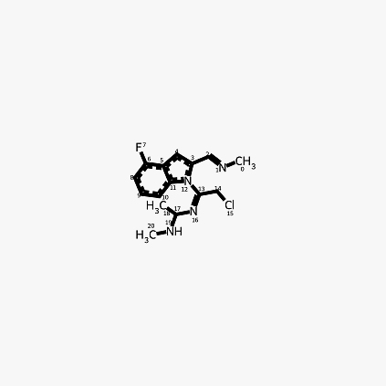 C/N=C/c1cc2c(F)cccc2n1/C(CCl)=N\C(C)NC